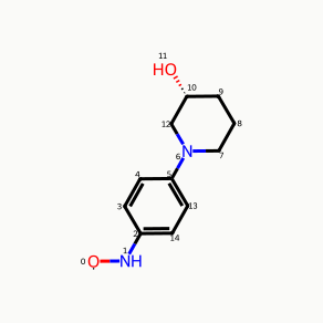 [O]Nc1ccc(N2CCC[C@@H](O)C2)cc1